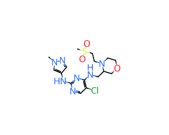 Cn1cc(Nc2ncc(Cl)c(NCC3COCCN3CCS(C)(=O)=O)n2)cn1